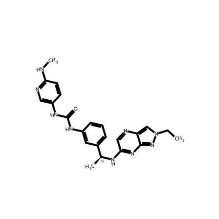 CCn1cc2ncc(N[C@@H](C)c3cccc(NC(=O)Nc4ccc(NC)nc4)c3)nc2n1